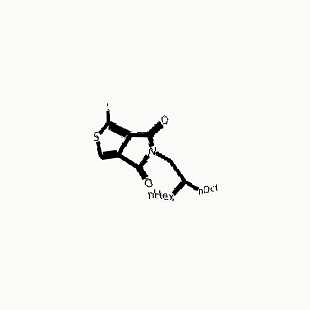 CCCCCCCCC(CCCCCC)CN1C(=O)c2csc(I)c2C1=O